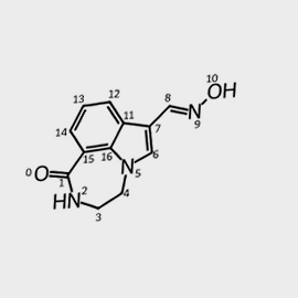 O=C1NCCn2cc(C=NO)c3cccc1c32